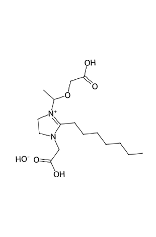 CCCCCCCC1=[N+](C(C)OCC(=O)O)CCN1CC(=O)O.[OH-]